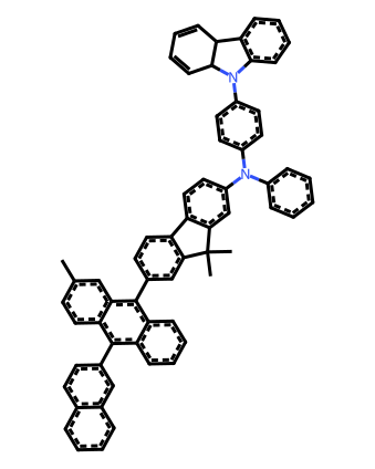 Cc1ccc2c(-c3ccc4ccccc4c3)c3ccccc3c(-c3ccc4c(c3)C(C)(C)c3cc(N(c5ccccc5)c5ccc(N6c7ccccc7C7C=CC=CC76)cc5)ccc3-4)c2c1